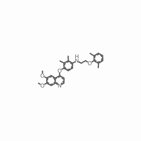 COc1cc2nccc(Oc3ccc(NCCOc4c(C)cccc4C)c(C)c3C)c2cc1OC